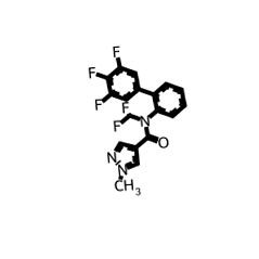 Cn1cc(C(=O)N(c2ccccc2-c2cc(F)c(F)c(F)c2)C(F)F)cn1